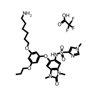 CCCOc1cc(OCCCCCCN)cc(Oc2cc3c(cc2NS(=O)(=O)c2cn(C)cn2)n(C)c(=O)n3C)c1.O=C(O)C(F)(F)F